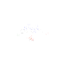 CS(=O)(=O)OCc1cc(Nc2nc3ccc(Br)cc3s2)nc(N[C@H]2CC[C@H](O)CC2)n1